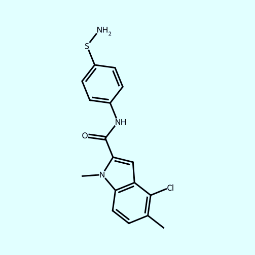 Cc1ccc2c(cc(C(=O)Nc3ccc(SN)cc3)n2C)c1Cl